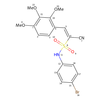 COc1ccc(C=C(C#N)S(=O)(=O)Nc2ccc(Br)cc2)c(OC)c1OC